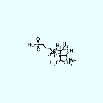 CC(C)[Si](OS(=O)(=O)CCCS(=O)(=O)O)(C(C)C)C(C)C.[LiH]